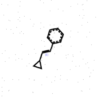 C(=C\C1CC1)/c1ccccc1